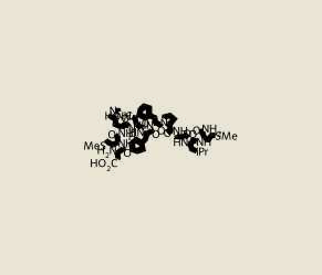 CSCCC(NC(=O)C(CC(C)C)NC(=O)CNC(=O)C1CCCN1C(=O)C(Cc1ccccc1)NC(=O)C(Cc1ccccc1)NC(=O)C(CC(=O)O)NC(=O)C(Cc1cnc[nH]1)NC(=O)C(CCSC)NC(=O)C(N)CC(=O)O)C(N)=O